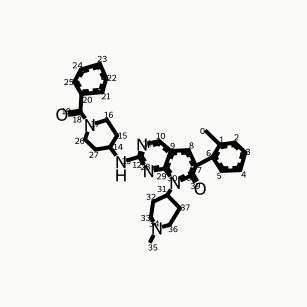 Cc1ccccc1-c1cc2cnc(NC3CCN(C(=O)c4ccccc4)CC3)nc2n(C2CCN(C)CC2)c1=O